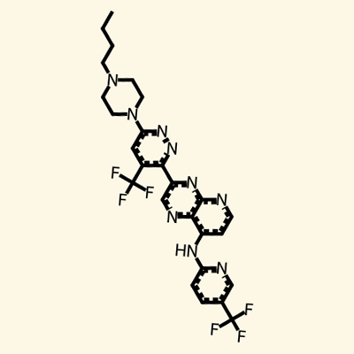 CCCCN1CCN(c2cc(C(F)(F)F)c(-c3cnc4c(Nc5ccc(C(F)(F)F)cn5)ccnc4n3)nn2)CC1